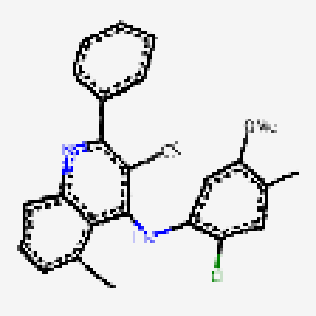 COc1cc(Nc2c(C#N)c(-c3ccccc3)nc3cccc(C)c23)c(Cl)cc1C